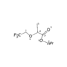 CCCOC(=O)C(C)OCC(F)(F)F